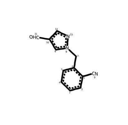 N#Cc1ccccc1Cn1cc(C=O)cn1